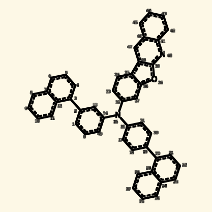 c1cc(-c2cccc3ccccc23)cc(N(c2ccc(-c3cccc4ccccc34)cc2)c2ccc3c(c2)oc2nc4ccccc4cc23)c1